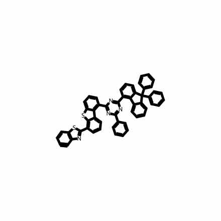 c1ccc2sc(-c3cccc4c3sc3cccc(-c5nc(-c6ccccc6)nc(-c6cccc7c6-c6ccccc6C7(c6ccccc6)c6ccccc6)n5)c34)nc2c#1